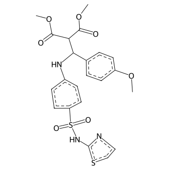 COC(=O)C(C(=O)OC)C(Nc1ccc(S(=O)(=O)Nc2nccs2)cc1)c1ccc(OC)cc1